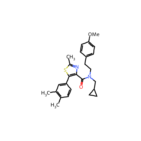 COc1ccc(CCN(CC2CC2)C(=O)c2nc(C)sc2-c2ccc(C)c(C)c2)cc1